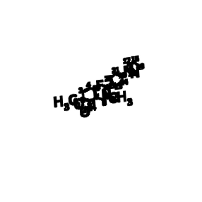 COc1ccc(F)c(CN(C)Cc2ccc(-n3cccn3)cc2)c1C=O